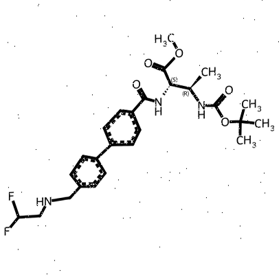 COC(=O)[C@@H](NC(=O)c1ccc(-c2ccc(CNCC(F)F)cc2)cc1)[C@@H](C)NC(=O)OC(C)(C)C